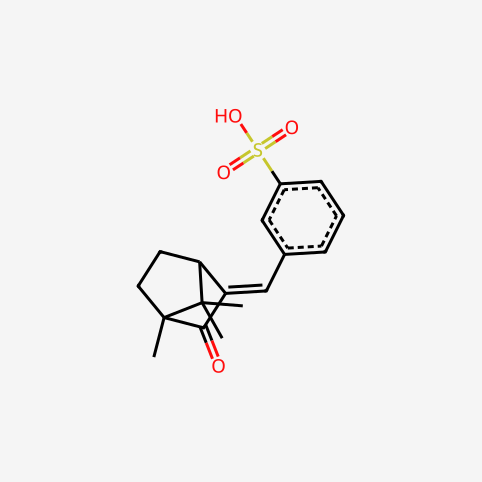 CC12CCC(C(=Cc3cccc(S(=O)(=O)O)c3)C1=O)C2(C)C